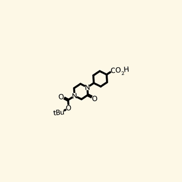 CC(C)(C)OC(=O)N1CCN(C2CCC(C(=O)O)CC2)C(=O)C1